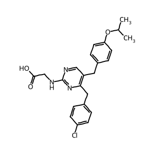 CC(C)Oc1ccc(Cc2cnc(NCC(=O)O)nc2Cc2ccc(Cl)cc2)cc1